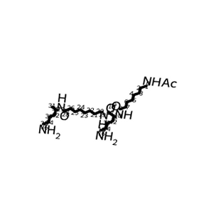 CC(=O)NCCCCCCCC(=O)NC(CCCCN)C(=O)NCCCCCCCC(=O)NC(C)CCCCN